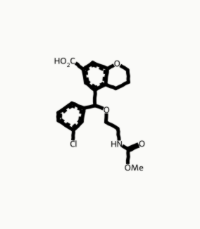 COC(=O)NCCOC(c1cccc(Cl)c1)c1cc(C(=O)O)cc2c1CCCO2